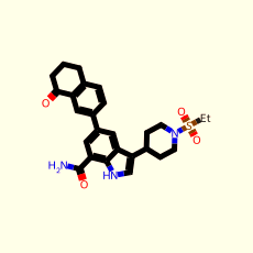 CCS(=O)(=O)N1CCC(c2c[nH]c3c(C(N)=O)cc(-c4ccc5c(c4)C(=O)CCC5)cc23)CC1